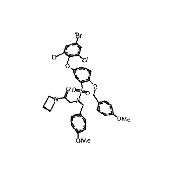 COc1ccc(COc2ccc(Oc3c(Cl)cc(Br)cc3Cl)cc2S(=O)(=O)N(CC(=O)N2CCC2)Cc2ccc(OC)cc2)cc1